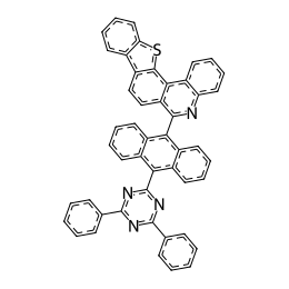 c1ccc(-c2nc(-c3ccccc3)nc(-c3c4ccccc4c(-c4nc5ccccc5c5c4ccc4c6ccccc6sc45)c4ccccc34)n2)cc1